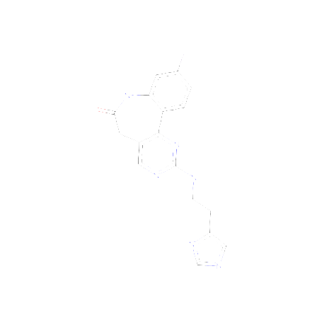 O=C1Cc2cnc(NCCc3cnc[nH]3)nc2-c2ccc(I)cc2N1